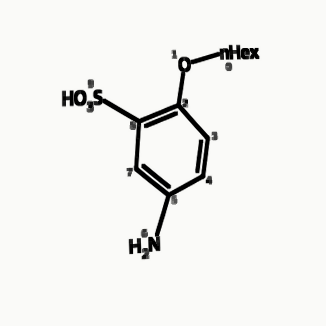 CCCCCCOc1ccc(N)cc1S(=O)(=O)O